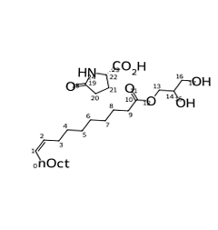 CCCCCCCC/C=C\CCCCCCCC(=O)OCC(O)CO.O=C1CC[C@@H](C(=O)O)N1